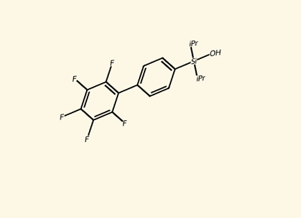 CC(C)[Si](O)(c1ccc(-c2c(F)c(F)c(F)c(F)c2F)cc1)C(C)C